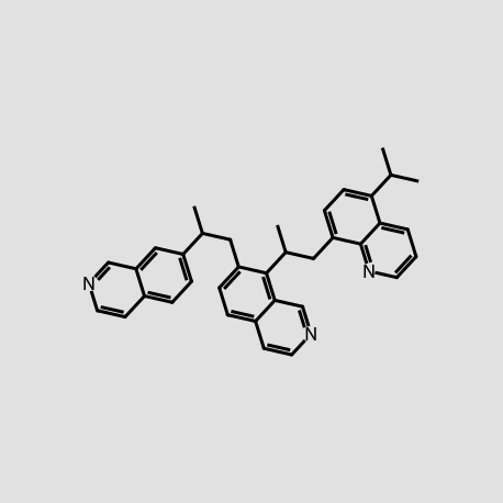 CC(C)c1ccc(CC(C)c2c(CC(C)c3ccc4ccncc4c3)ccc3ccncc23)c2ncccc12